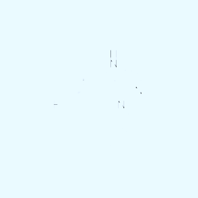 Cc1[nH]c2ccnc(N3CCc4ccccc4C3)c2c1Cc1cccc(F)c1